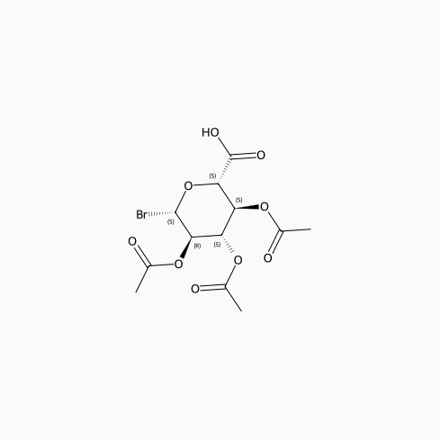 CC(=O)O[C@@H]1[C@@H](OC(C)=O)[C@H](Br)O[C@H](C(=O)O)[C@H]1OC(C)=O